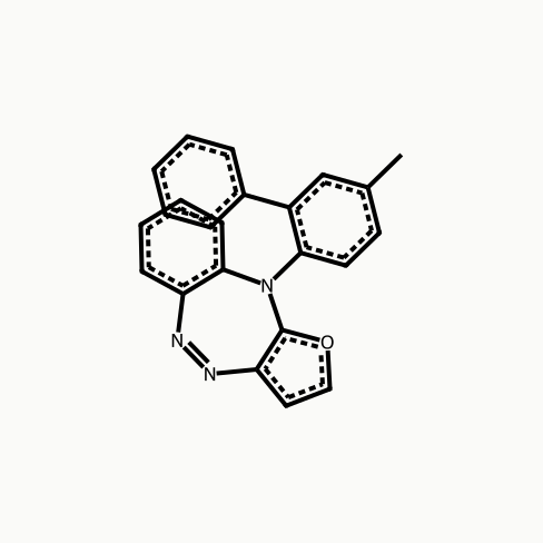 Cc1ccc(N2c3ccccc3N=Nc3ccoc32)c(-c2ccccc2)c1